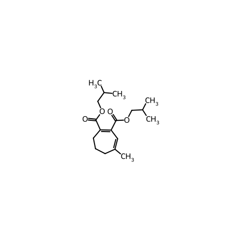 CC1=CC(C(=O)OCC(C)C)=C(C(=O)OCC(C)C)CCC1